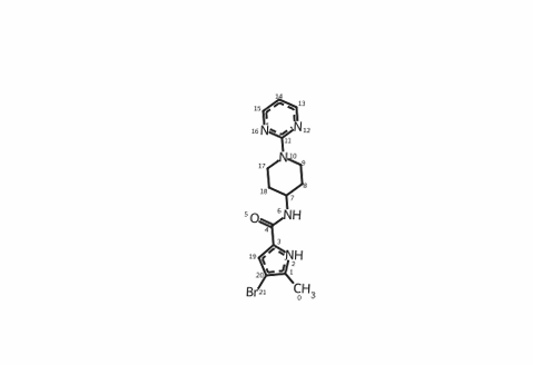 Cc1[nH]c(C(=O)NC2CCN(c3ncccn3)CC2)cc1Br